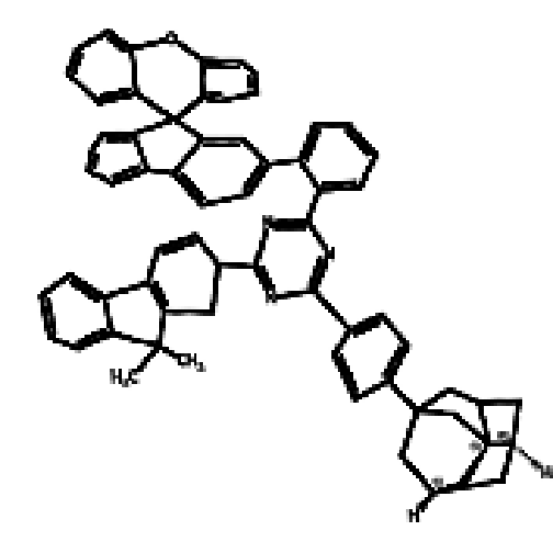 CC1(C)C2=C(C=CC(c3nc(-c4ccc(C56CC7C[C@H]8C[C@H](C5)C[C@@]78C6)cc4)nc(-c4ccccc4-c4ccc5c(c4)C4(c6ccccc6Oc6ccccc64)c4ccccc4-5)n3)C2)c2ccccc21